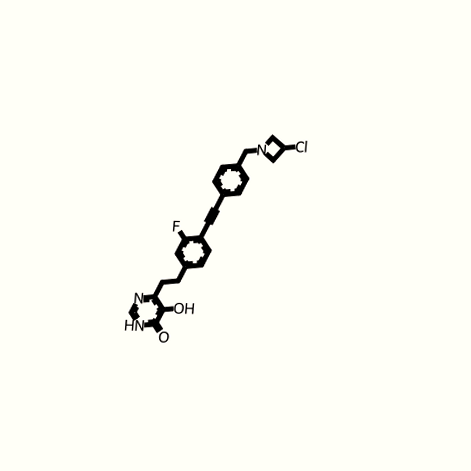 O=c1[nH]cnc(CCc2ccc(C#Cc3ccc(CN4CC(Cl)C4)cc3)c(F)c2)c1O